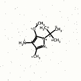 COc1c(N)c(C)nn1C(C)(C)C